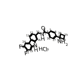 Cl.NC1(c2ccc(C(=O)NCc3ccc4c(c3)[nH]c3cc(F)c(F)cc34)cc2)CCC1